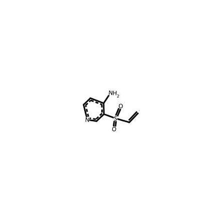 C=CS(=O)(=O)c1cnccc1N